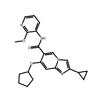 COc1ncccc1NC(=O)c1cn2cc(C3CC3)nc2cc1OC1CCCC1